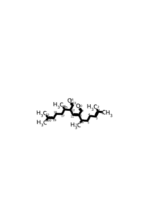 CC(C)=CCCC(C)C(C=O)=CC(C=O)C(C)CCC=C(C)C